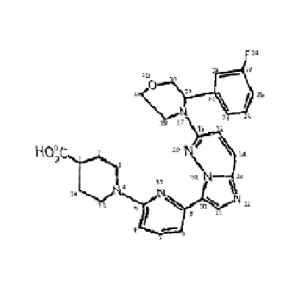 O=C(O)C1CCN(c2cccc(-c3cnc4ccc(N5CCOCC5c5cccc(F)c5)nn34)n2)CC1